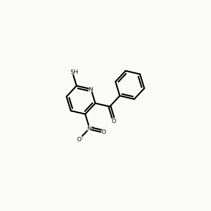 O=C(c1ccccc1)c1nc(S)ccc1[N+](=O)[O-]